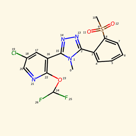 Cn1c(-c2ccccc2S(C)(=O)=O)nnc1-c1cc(Cl)cnc1OC(F)F